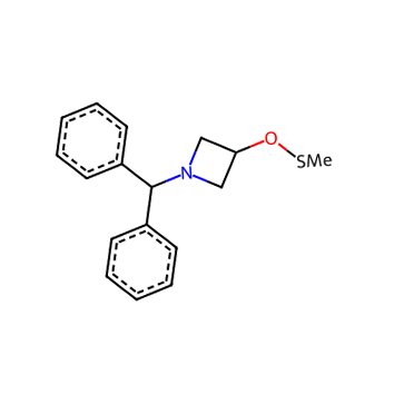 CSOC1CN(C(c2ccccc2)c2ccccc2)C1